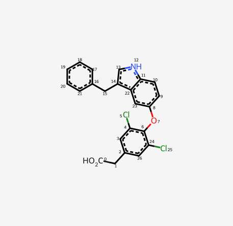 O=C(O)Cc1cc(Cl)c(Oc2ccc3[nH]cc(Cc4ccccc4)c3c2)c(Cl)c1